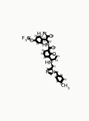 Cc1ccc(Cn2cncc2CNC2CCOc3c(C(=O)NCC(C(N)=O)c4ccc(OC(F)(F)F)cc4)cccc32)cc1